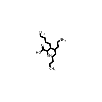 CCCCCC(CCN)C(CCCCC)C(N)C(=O)O